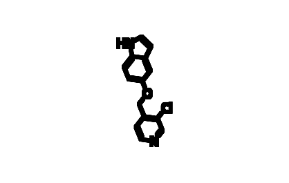 Clc1cnccc1COc1ccc2[nH]ccc2c1